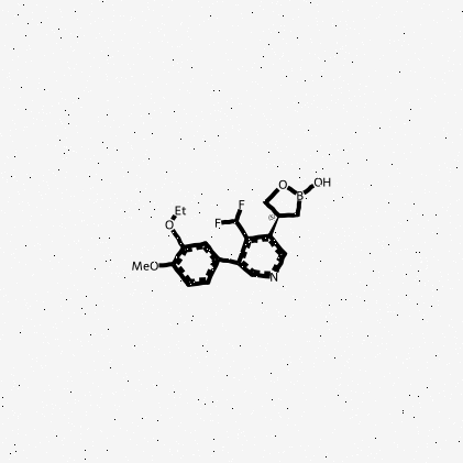 CCOc1cc(-c2cncc([C@H]3COB(O)C3)c2C(F)F)ccc1OC